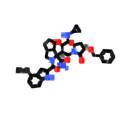 COc1cccc2[nH]c(C(=O)N3CC4CCCC4C3(C(N)=O)[C@H](CN3CC[C@H](OCc4ccccc4)C3=O)C(O)C(=O)NC3CC3)cc12